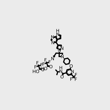 CC(C)NC(=O)c1cc(O[C@H]2CC[C@@H](N3CC(CC#N)(n4cc(-c5ncnc6[nH]ccc56)cn4)C3)CC2)nc(C(F)(F)F)c1.O=C(O)C(F)(F)F.O=C(O)C(F)(F)F